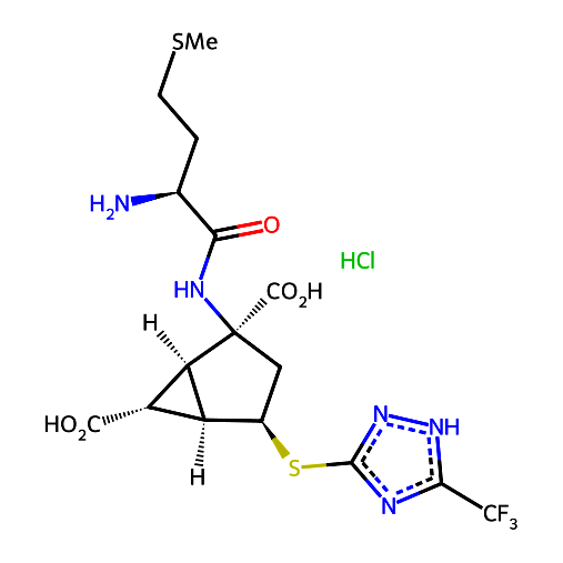 CSCC[C@H](N)C(=O)N[C@@]1(C(=O)O)C[C@@H](Sc2n[nH]c(C(F)(F)F)n2)[C@H]2[C@H](C(=O)O)[C@H]21.Cl